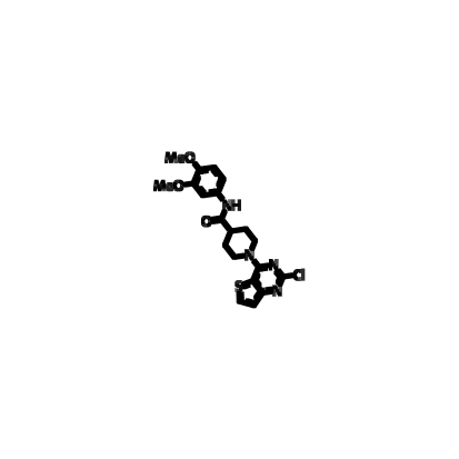 COc1ccc(NC(=O)C2CCN(c3nc(Cl)nc4ccsc34)CC2)cc1OC